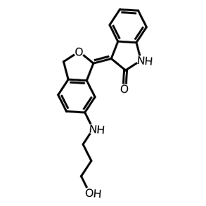 O=C1Nc2ccccc2C1=C1OCc2ccc(NCCCO)cc21